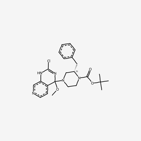 COC1(N2CCN(C(=O)OC(C)(C)C)[C@@H](Cc3ccccc3)C2)N=C(Cl)Nc2cnccc21